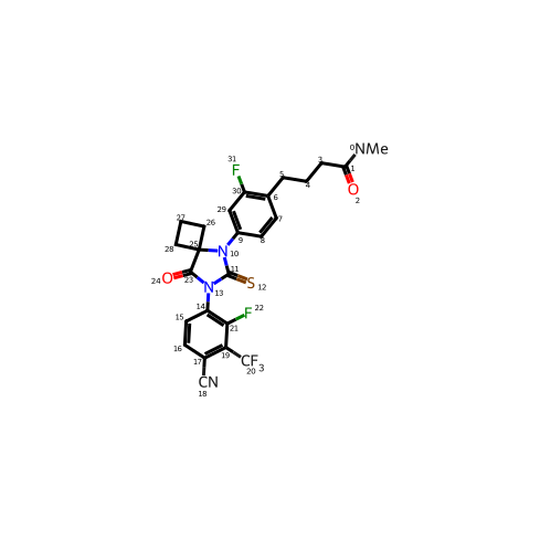 CNC(=O)CCCc1ccc(N2C(=S)N(c3ccc(C#N)c(C(F)(F)F)c3F)C(=O)C23CCC3)cc1F